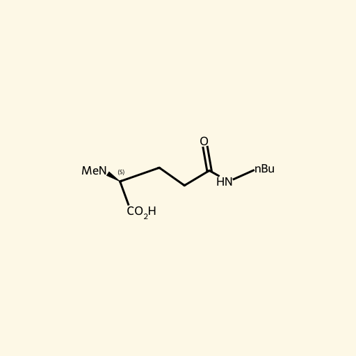 CCCCNC(=O)CC[C@H](NC)C(=O)O